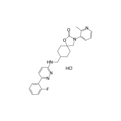 Cc1ncccc1N1CC2(CCC(CNc3ccc(-c4ccccc4F)nn3)CC2)OC1=O.Cl